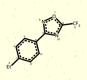 CCc1ccc(-c2noc(C(F)(F)F)n2)cc1